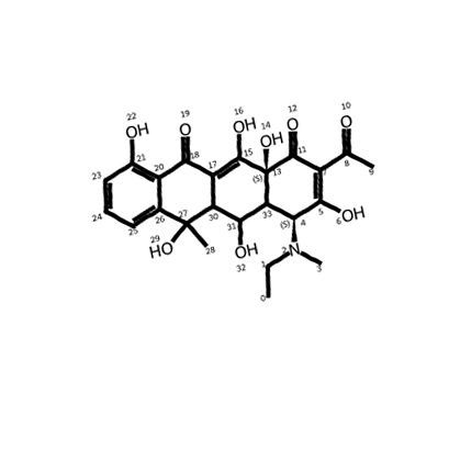 CCN(C)[C@@H]1C(O)=C(C(C)=O)C(=O)[C@@]2(O)C(O)=C3C(=O)c4c(O)cccc4C(C)(O)C3C(O)C12